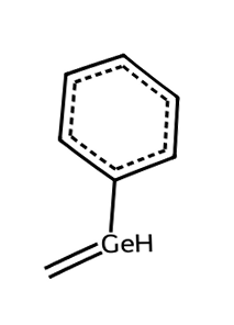 [CH2]=[GeH][c]1ccccc1